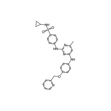 Cc1cc(Nc2ccc(OCc3ccccn3)cc2)nc(Nc2ccc(S(=O)(=O)NC3CC3)cc2)n1